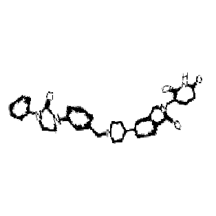 O=C1CCC(N2Cc3cc(C4CCN(Cc5cccc(N6CCN(c7ccccc7)C6=O)c5)CC4)ccc3C2=O)C(=O)N1